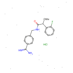 COC(C(=O)NCc1ccc(C(=N)N)cc1)c1ccccc1F.Cl